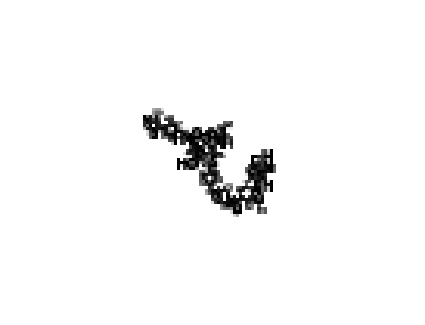 CNc1nc(Nc2ccc(C(=O)N3CCN(CC4CCC(CSC(C)(C)[C@H](NC(=O)C5(F)CC5)C(=O)N5C[C@H](O)C=C5C(=O)NCc5ccc(-c6scnc6C)cc5)CC4)CC3)cc2OC)ncc1Cl